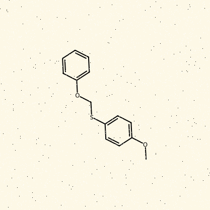 COc1ccc(SCOc2ccccc2)cc1